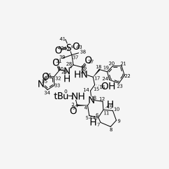 CC(C)(C)NC(=O)[C@@H]1C[C@@H]2CCCC[C@@H]2CN1C[C@@H](O)[C@H](Cc1ccccc1)NC(=O)[C@@H](NC(=O)c1ccno1)C(C)(C)S(C)(=O)=O